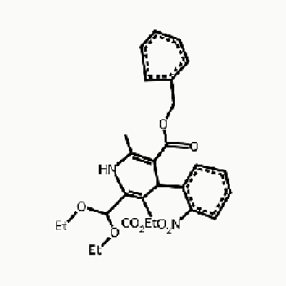 CCOC(=O)C1=C(C(OCC)OCC)NC(C)=C(C(=O)OCc2ccccc2)C1c1ccccc1[N+](=O)[O-]